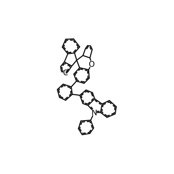 C1=CC2Oc3ccc(-c4ccccc4-c4ccc5c6ccccc6n(-c6ccccc6)c5c4)cc3C3(c4ccccc4-c4ccccc43)C2C=C1